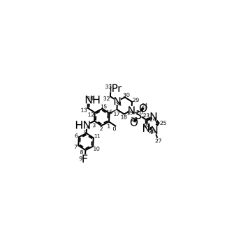 Cc1cc(Nc2ccc(F)cc2)c(C=N)cc1[C@@H]1CN(S(=O)(=O)c2ncn(C)n2)CCN1CC(C)C